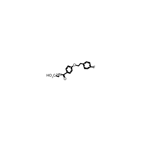 O=C(O)CNC(=O)c1ccc(OCCc2ccc(F)cc2)cc1